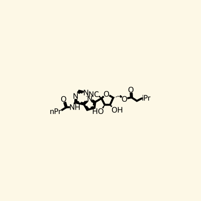 CCCC(=O)Nc1ncnn2c([C@]3(C#N)O[C@H](COC(=O)CC(C)C)[C@@H](O)[C@H]3O)ccc12